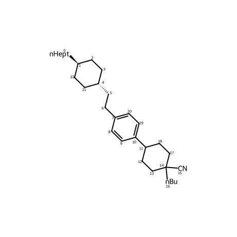 CCCCCCC[C@H]1CC[C@H](CCc2ccc(C3CCC(C#N)(CCCC)CC3)cc2)CC1